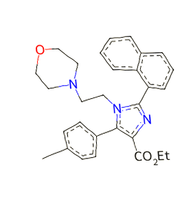 CCOC(=O)c1nc(-c2cccc3ccccc23)n(CCN2CCOCC2)c1-c1ccc(C)cc1